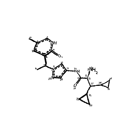 Cc1c[nH]c(=O)c(C(C)n2cc(NC(=O)[C@@H](N)C(C3CC3)C3CC3)cn2)c1